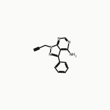 C#CCn1nc(-c2ccccc2)c2c(N)ncnc21